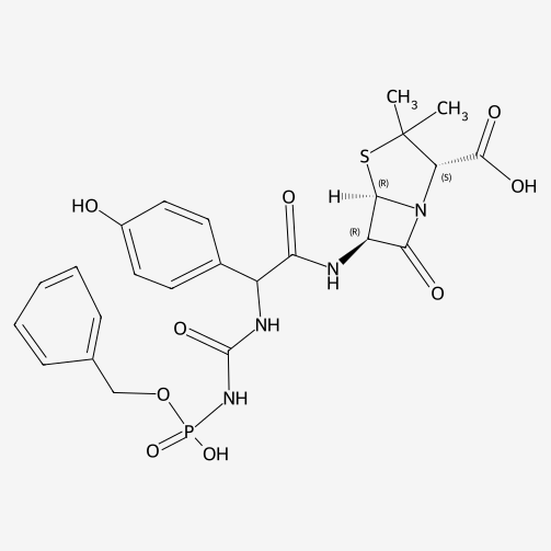 CC1(C)S[C@@H]2[C@H](NC(=O)C(NC(=O)NP(=O)(O)OCc3ccccc3)c3ccc(O)cc3)C(=O)N2[C@H]1C(=O)O